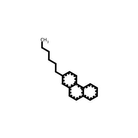 CCCCCCc1[c]c2ccc3ccccc3c2cc1